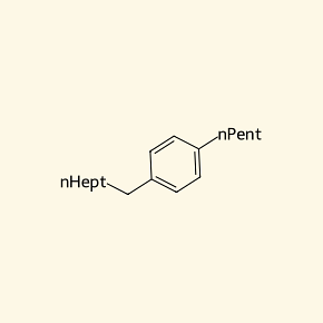 [CH2]CCCCCCCc1ccc(CCCCC)cc1